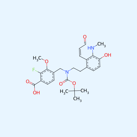 CNc1c(O)ccc(CCN(Cc2ccc(C(=O)O)c(F)c2OC)C(=O)OC(C)(C)C)c1/C=C\C=O